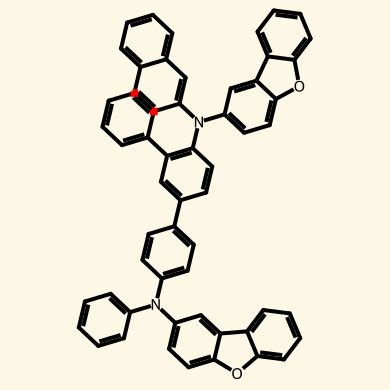 c1ccc(-c2cc(-c3ccc(N(c4ccccc4)c4ccc5oc6ccccc6c5c4)cc3)ccc2N(c2ccc3ccccc3c2)c2ccc3oc4ccccc4c3c2)cc1